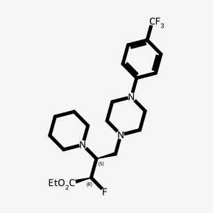 CCOC(=O)[C@H](F)[C@H](CN1CCN(c2ccc(C(F)(F)F)cc2)CC1)N1CCCCC1